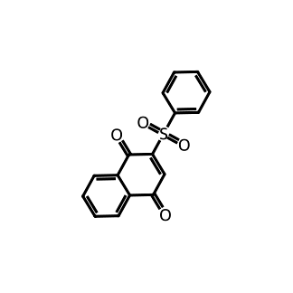 O=C1C=C(S(=O)(=O)c2ccccc2)C(=O)c2ccccc21